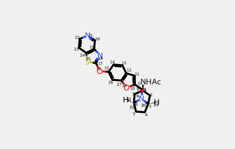 CC(=O)N[C@H]1C[C@H]2CC[C@@H](C1)N2Cc1cc2ccc(Oc3nc4cnccc4s3)cc2o1